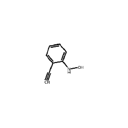 C#Cc1ccccc1NO